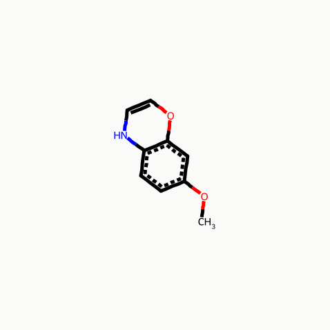 COc1ccc2c(c1)OC=CN2